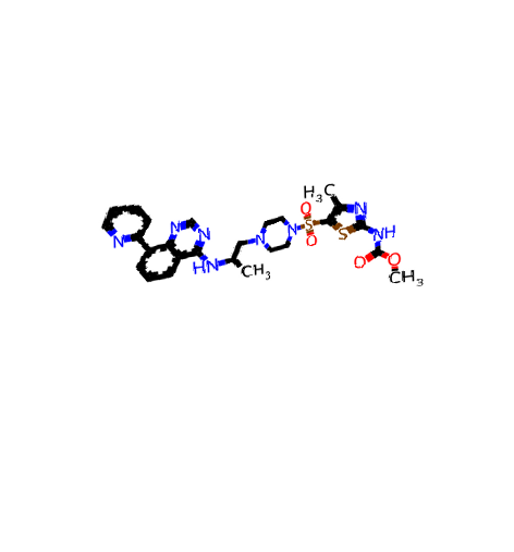 COC(=O)Nc1nc(C)c(S(=O)(=O)N2CCN(CC(C)Nc3ncnc4c(-c5ccccn5)cccc34)CC2)s1